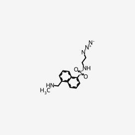 CNCc1cccc2c(S(=O)(=O)NCCN=[N+]=[N-])cccc12